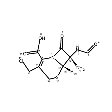 N[C@]1(NC=O)C(=O)N2C(C(=O)O)=C(CCl)CS[C@H]21